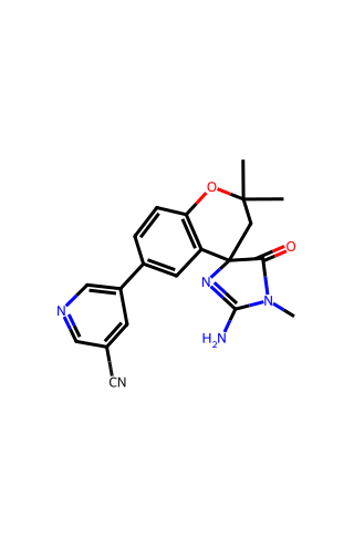 CN1C(=O)C2(CC(C)(C)Oc3ccc(-c4cncc(C#N)c4)cc32)N=C1N